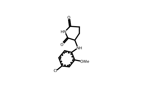 COc1cc(Cl)ccc1NC1CCC(=O)NC1=O